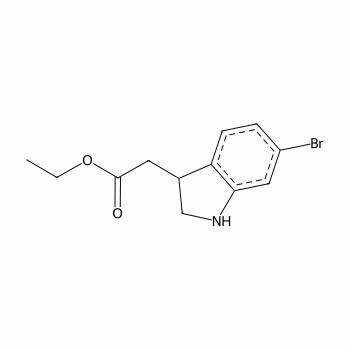 CCOC(=O)CC1CNc2cc(Br)ccc21